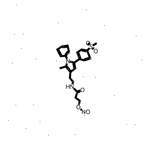 Cc1c(CCNC(=O)CCON=O)cc(-c2ccc(S(C)(=O)=O)cc2)n1-c1ccccc1